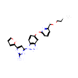 COCCOCc1cccc(Oc2ccc3c(c2)nnn3-c2cc(-c3ccco3)nc(N)n2)n1